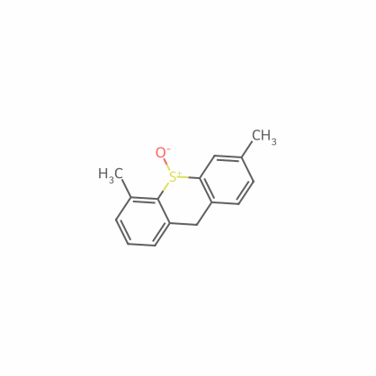 Cc1ccc2c(c1)[S+]([O-])c1c(C)cccc1C2